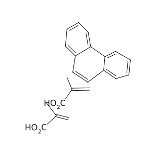 C=C(C)C(=O)O.C=C(C)C(=O)O.c1ccc2c(c1)ccc1ccccc12